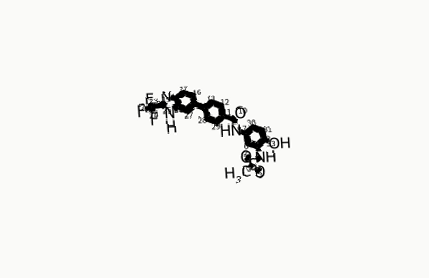 CS(=O)(=O)Nc1cc(NC(=O)c2ccc(-c3ccc4nc(C(F)(F)F)[nH]c4c3)cc2)ccc1O